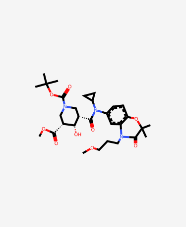 COCCCN1C(=O)C(C)(C)Oc2ccc(N(C(=O)[C@H]3CN(C(=O)OC(C)(C)C)C[C@@H](C(=O)OC)[C@H]3O)C3CC3)cc21